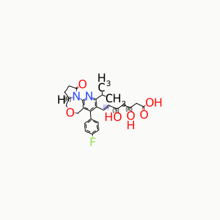 CC(C)c1nc2c(c(-c3ccc(F)cc3)c1/C=C/[C@@H](O)C[C@@H](O)CC(=O)O)COC[C@H]1CCC(=O)N21